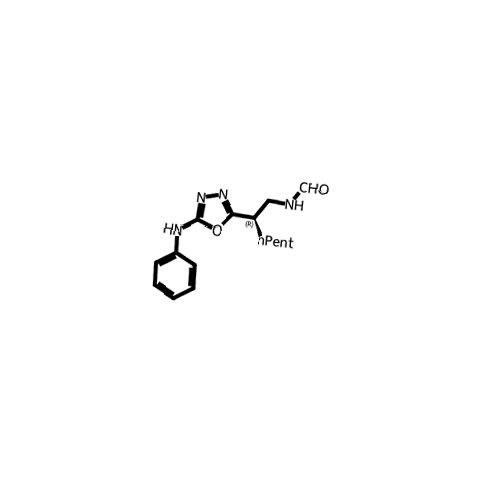 CCCCC[C@H](CNC=O)c1nnc(Nc2ccccc2)o1